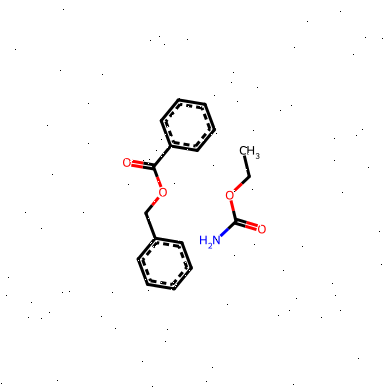 CCOC(N)=O.O=C(OCc1ccccc1)c1ccccc1